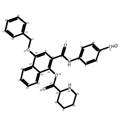 O=Cc1ccc(NC(=O)c2cc(OCc3ccccc3)c3ccccc3c2OC(=O)C2CCCCN2)cc1